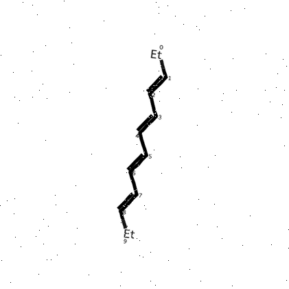 CCC=CC=CC=CC=CCC